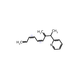 C=C/C=C\C=C/C(=C)C(C)c1ccccn1